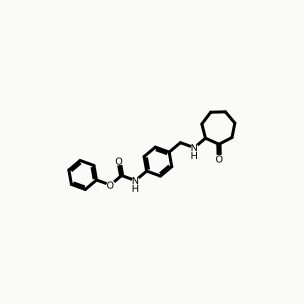 O=C(Nc1ccc(CNC2CCCCCC2=O)cc1)Oc1ccccc1